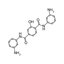 Nc1cccc(NC(=O)c2ccc(C(=O)Nc3cccc(N)c3)c(O)c2)c1